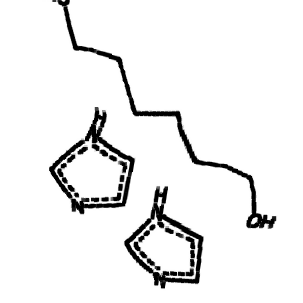 OCCCCCCO.c1c[nH]cn1.c1c[nH]cn1